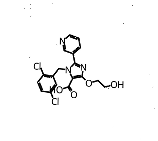 O=C(O)c1c(OCCO)nc(-c2cccnc2)n1Cc1cc(Cl)ccc1Cl